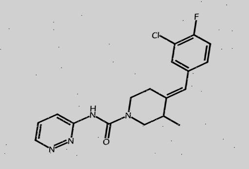 CC1CN(C(=O)Nc2cccnn2)CC/C1=C\c1ccc(F)c(Cl)c1